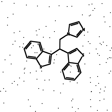 c1ccc2c(C(Cn3ccnc3)c3csc4ccccc34)csc2c1